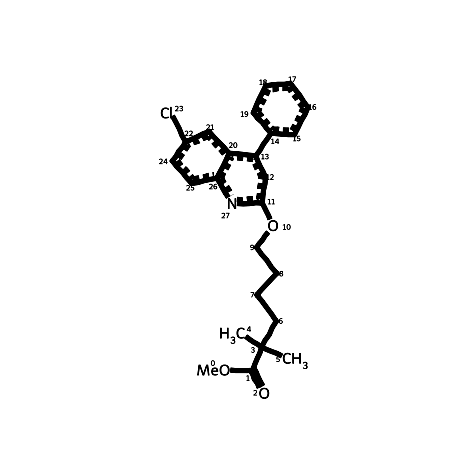 COC(=O)C(C)(C)CCCCOc1cc(-c2ccccc2)c2cc(Cl)ccc2n1